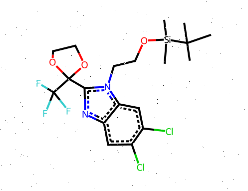 CC(C)(C)[Si](C)(C)OCCn1c(C2(C(F)(F)F)OCCO2)nc2cc(Cl)c(Cl)cc21